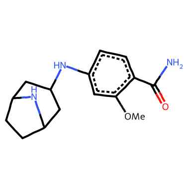 COc1cc(NC2CC3CCC(C2)N3)ccc1C(N)=O